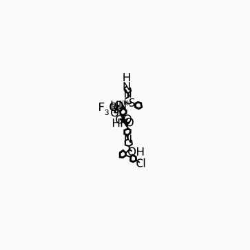 O=C(NS(=O)(=O)c1ccc(N[C@H](CCN2CCNCC2)CSc2ccccc2)c(S(=O)(=O)C(F)(F)F)c1)c1ccc(N2CCC(C(O)c3ccccc3-c3ccc(Cl)cc3)CC2)cc1